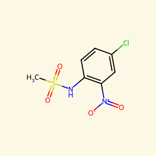 CS(=O)(=O)Nc1ccc(Cl)cc1[N+](=O)[O-]